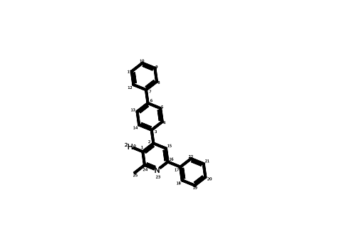 [2H]c1c(-c2ccc(-c3ccccc3)cc2)cc(-c2ccccc2)nc1C